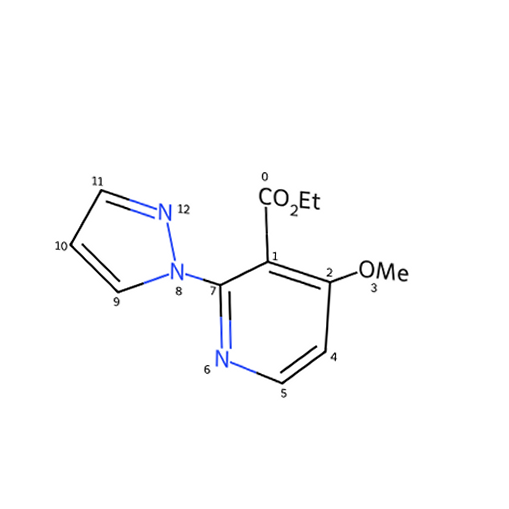 CCOC(=O)c1c(OC)ccnc1-n1cccn1